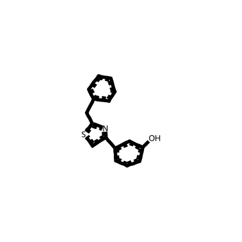 Oc1cccc(-c2csc(Cc3ccccc3)n2)c1